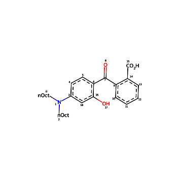 CCCCCCCCN(CCCCCCCC)c1ccc(C(=O)c2ccccc2C(=O)O)c(O)c1